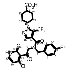 O=C(CN(Cc1ccc(F)cc1)C(=O)c1cnn([C@H]2CC[C@H](C(=O)O)CC2)c1C(F)(F)F)c1c(Cl)cc[nH]c1=O